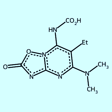 CCc1c(N(C)C)nc2nc(=O)on2c1NC(=O)O